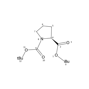 CCC(C)OC(=O)[C@@H]1CCCN1C(=O)OC(C)(C)C